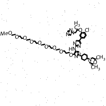 COCCOCCOCCOCCOCCOCCOCCOCCCOc1nn(C2CCC(N3C[C@@H](C)O[C@@H](C)C3)CC2)cc1Nc1ncc(-c2ccc(Cl)c(O[C@@H](C)Cn3cncn3)c2)cn1